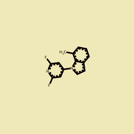 Cc1cccc2ccn(-c3cc(F)nc(F)c3)c12